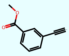 [C]#Cc1cccc(C(=O)OC)c1